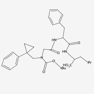 CC(C)CC(NC(=O)C(Cc1ccccc1)NC(=O)CN(CC1(c2ccccc2)CC1)C(=O)OC(C)(C)C)C(=O)O